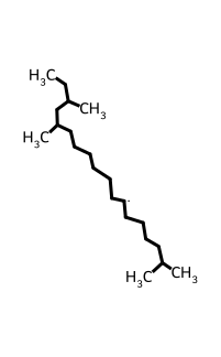 CCC(C)CC(C)CCCCCC[CH]CCCCC(C)C